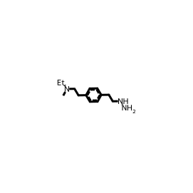 CCN(C)CCc1ccc(CCNN)cc1